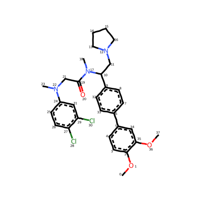 COc1ccc(-c2ccc(C(CN3CCCC3)N(C)C(=O)CN(C)c3ccc(Cl)c(Cl)c3)cc2)cc1OC